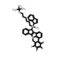 CC(C)(C)OCCCCCC[Si](C)(C1C=Cc2ccccc21)C1c2ccccc2-c2c1c1cccc3c1n2Cc1c(F)c(F)c(F)c(F)c1-3